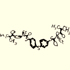 C=C(C)C(=O)ON(CC)C(=O)Sc1ccc(Sc2ccc(SC(=O)N(CC)OC(=O)C(=C)C)cc2)cc1